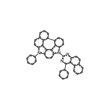 c1ccc(-c2nc(-n3c4cccc5c4c4c6c7c8c-5cccc8ccc7n(-c5ccccc5)c6ccc43)nc3ccc4ccccc4c23)cc1